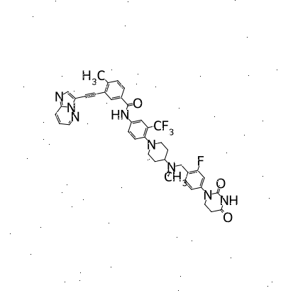 Cc1ccc(C(=O)Nc2ccc(N3CCC(N(C)Cc4ccc(N5CCC(=O)NC5=O)cc4F)CC3)c(C(F)(F)F)c2)cc1C#Cc1cnc2cccnn12